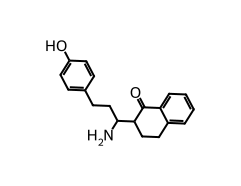 NC(CCc1ccc(O)cc1)C1CCc2ccccc2C1=O